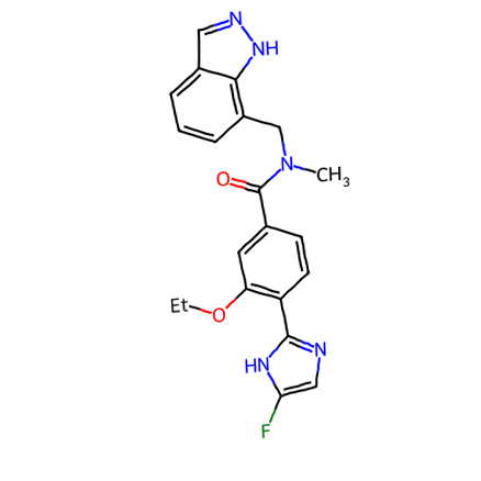 CCOc1cc(C(=O)N(C)Cc2cccc3cn[nH]c23)ccc1-c1ncc(F)[nH]1